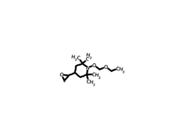 CCOCON1C(C)(C)CC(C2CO2)CC1(C)C